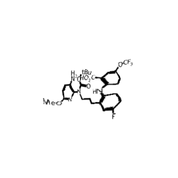 COc1ccc(N)c(N(CCCc2cc(F)ccc2Nc2ccc(OC(F)(F)F)cc2C(=O)O)C(=O)OC(C)(C)C)n1